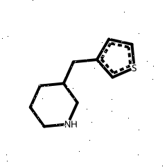 c1cc(CC2CCCNC2)cs1